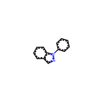 [c]1nn(-c2ccccc2)c2ccccc12